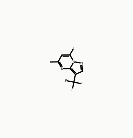 Cc1cc(I)n2ncc(C(F)(F)F)c2n1